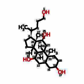 CC(CCCO)[C@H]1CC[C@H]2[C@@H]3[C@H](O)CC4C[C@H](O)CC[C@]4(C)[C@H]3C[C@H](O)[C@]12C